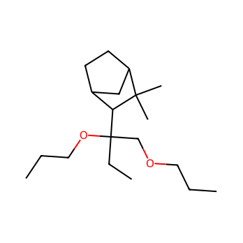 CCCOCC(CC)(OCCC)C1C2CCC(C2)C1(C)C